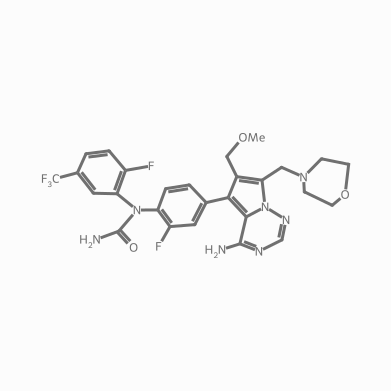 COCc1c(-c2ccc(N(C(N)=O)c3cc(C(F)(F)F)ccc3F)c(F)c2)c2c(N)ncnn2c1CN1CCOCC1